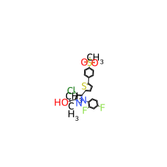 CC(C)(O)c1nn(-c2ccc(F)cc2F)c(-c2ccc(-c3ccc(S(C)(=O)=O)cc3)s2)c1Cl